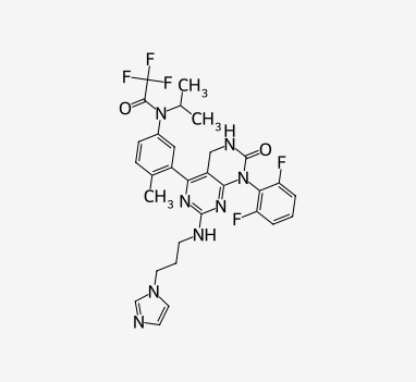 Cc1ccc(N(C(=O)C(F)(F)F)C(C)C)cc1-c1nc(NCCCn2ccnc2)nc2c1CNC(=O)N2c1c(F)cccc1F